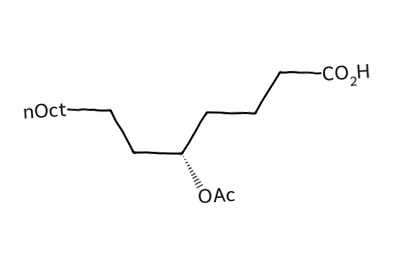 CCCCCCCCCC[C@H](CCCC(=O)O)OC(C)=O